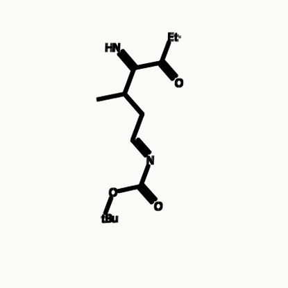 C[CH]C(=O)C(=N)C(C)CC=NC(=O)OC(C)(C)C